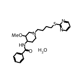 COC1CN(CCCCSc2ncccn2)CCC1NC(=O)c1ccccc1.O